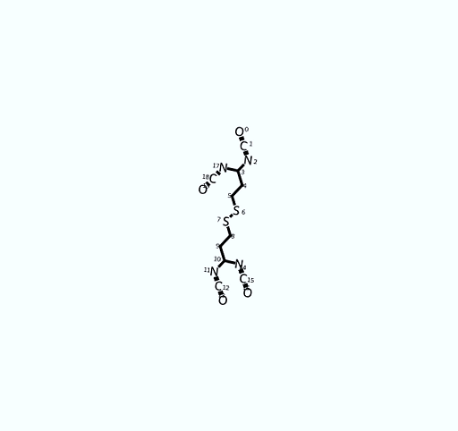 O=C=NC(CCSSCCC(N=C=O)N=C=O)N=C=O